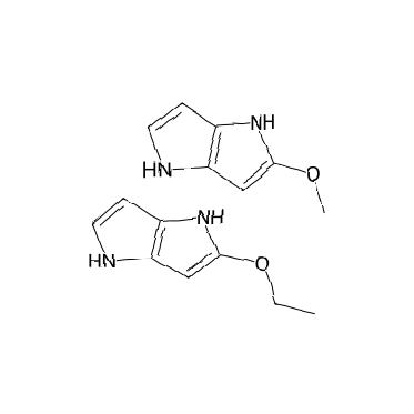 CCOc1cc2[nH]ccc2[nH]1.COc1cc2[nH]ccc2[nH]1